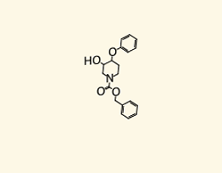 O=C(OCc1ccccc1)N1CCC(Oc2ccccc2)C(O)C1